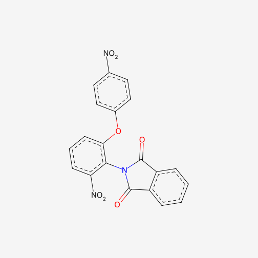 O=C1c2ccccc2C(=O)N1c1c(Oc2ccc([N+](=O)[O-])cc2)cccc1[N+](=O)[O-]